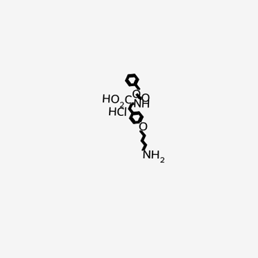 Cl.NCCCCCOc1ccc(CC(NC(=O)OCc2ccccc2)C(=O)O)cc1